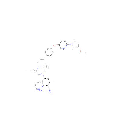 CO[C@@H]1CCN(c2ccc(Oc3ccc([C@H]4CCN5[C@@H](C4)CN(c4ccc(C#N)c6ncccc46)C[C@H]5C)cc3)cn2)C1